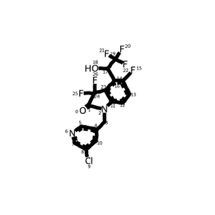 O=C1N(Cc2cncc(Cl)c2)c2ccc(F)c(C(O)C(F)(F)F)c2C1(F)F